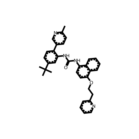 Cc1ccc(-c2ccc(C(C)(C)C)cc2NC(=O)Nc2ccc(OCCc3ccccn3)c3ccccc23)cn1